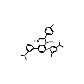 Cc1ccc(/C(=C/N)N(N)c2cc(-c3cccc([S+](C)[O-])c3)ccc2-n2cc(C(F)F)nc2C)cc1